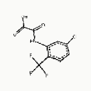 O=C(O)C(=O)Nc1cc(Cl)ccc1C(F)(F)F